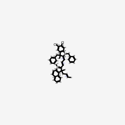 C/C=C/CC1(C)C(/C=C/C=C2/N(Cc3ccccc3)c3cc(Cl)c(Cl)cc3C2(C)Cc2ccccc2)=[N+](C)c2ccc3ccccc3c21